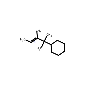 C/C=C(\C)C(C)(C)C1CCCCC1